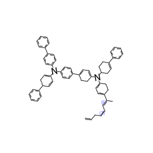 C=CC/C=C\C=C(/C)C1=CC=C(N(C2=CC=C(c3ccc(N(C4=CCC(c5ccccc5)C=C4)c4ccc(-c5ccccc5)cc4)cc3)CC2)C2CC=C(c3ccccc3)CC2)CC1